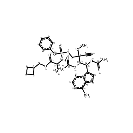 COC(C#N)(COP(=O)(N[C@@H](C)C(=O)OCC1CCC1)Oc1ccccc1)[C@@H](OC(C)=O)[C@@H](OC(C)=O)c1ccc2c(N)ncnn12